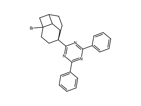 BrC12CCC3(c4nc(-c5ccccc5)nc(-c5ccccc5)n4)CCC(C1)C2C3